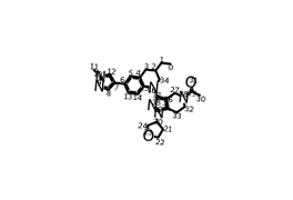 CCC1Cc2cc(-c3cnn(C)c3)ccc2N(c2nn([C@@H]3CCOC3)c3c2CN(C(C)=O)CC3)C1